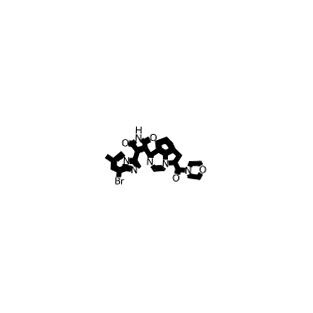 Cc1cc(Br)c2ncc(C3=C(C4=NC=CN5c6c(cccc64)CC5C(=O)N4CCOCC4)C(=O)NC3=O)n2c1